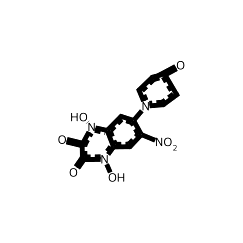 O=c1ccn(-c2cc3c(cc2[N+](=O)[O-])n(O)c(=O)c(=O)n3O)cc1